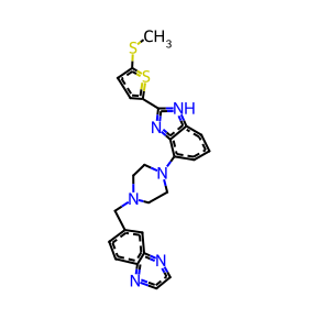 CSc1ccc(-c2nc3c(N4CCN(Cc5ccc6nccnc6c5)CC4)cccc3[nH]2)s1